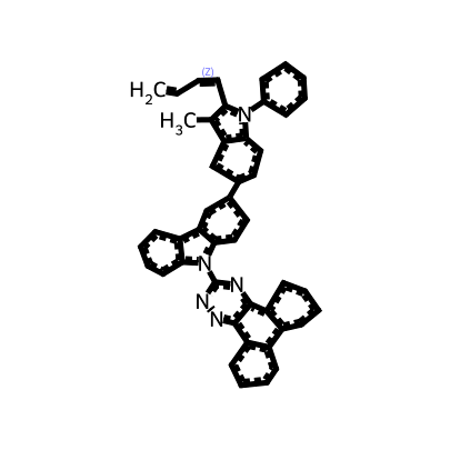 C=C/C=C\c1c(C)c2cc(-c3ccc4c(c3)c3ccccc3n4-c3nnc4c5ccccc5c5ccccc5c4n3)ccc2n1-c1ccccc1